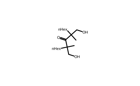 CCCCCCC(C)(CO)C(=O)C(C)(CO)CCCCCC